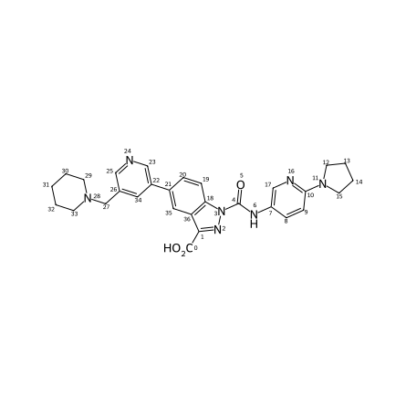 O=C(O)c1nn(C(=O)Nc2ccc(N3CCCC3)nc2)c2ccc(-c3cncc(CN4CCCCC4)c3)cc12